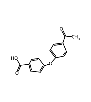 CC(=O)c1ccc(Oc2ccc(C(=O)O)cc2)cc1